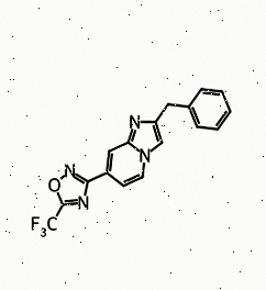 FC(F)(F)c1nc(-c2ccn3cc(Cc4ccccc4)nc3c2)no1